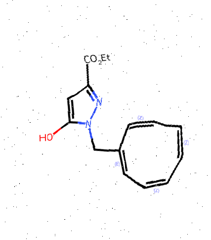 CCOC(=O)c1cc(O)n(CC2=C/C=C\C=C/C=C\2)n1